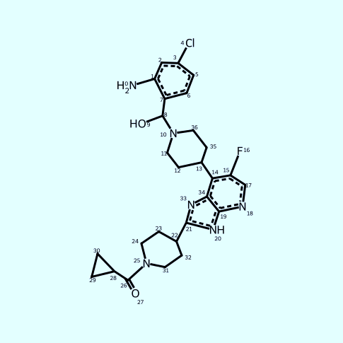 Nc1cc(Cl)ccc1C(O)N1CCC(c2c(F)cnc3[nH]c(C4CCN(C(=O)C5CC5)CC4)nc23)CC1